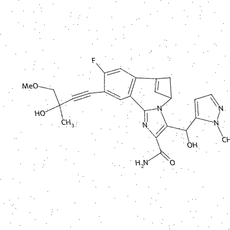 COCC(C)(O)C#Cc1cc2c(cc1F)C1=CC(C1)n1c-2nc(C(N)=O)c1C(O)c1ccnn1C